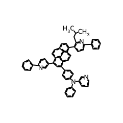 CC(C)Cc1nc(-c2ccccc2)ccc1-c1ccc2ccc3c(-c4ccc(-c5ccccc5)nc4)cc(-c4ccc(N(c5ccccc5)c5cccnc5)cc4)c4ccc1c2c43